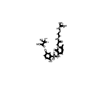 Cc1ccc(NS(=O)(=O)c2cc(Cl)ccc2Cl)c(=O)n1CC(=O)NCCONC(=N)N.O=C(O)C(F)(F)F